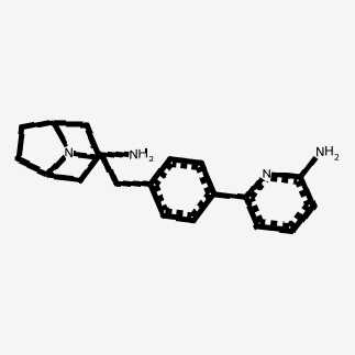 Nc1cccc(-c2ccc(CCN3C4CCC3CC(N)C4)cc2)n1